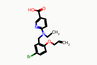 C=CCOc1ccc(Br)cc1CN(CC)c1ccc(C(=O)O)cn1